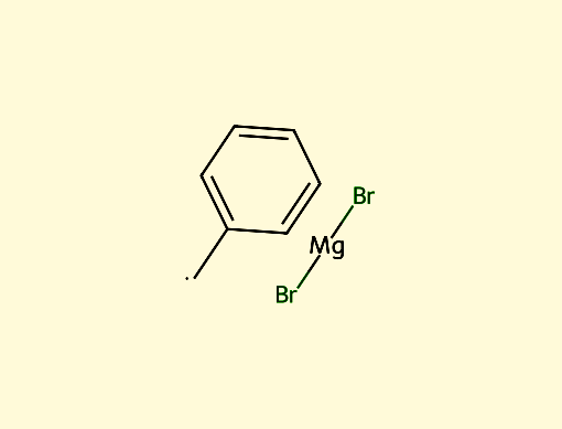 [Br][Mg][Br].[CH2]c1ccccc1